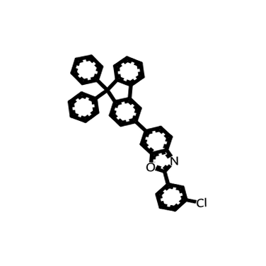 Clc1cccc(-c2nc3ccc(-c4ccc5c(c4)-c4ccccc4C5(c4ccccc4)c4ccccc4)cc3o2)c1